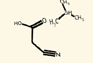 C[SiH](C)C.N#CCC(=O)O